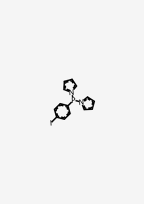 Ic1ccc(P(n2cccc2)n2cccc2)cc1